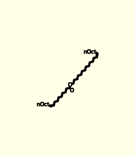 CCCCCCCC/C=C\CCCCCCCCCCCCOC(=O)CCCCCCC/C=C\CCCCCCCC